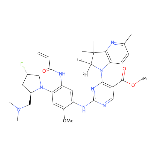 [2H]C1([2H])N(c2nc(Nc3cc(NC(=O)C=C)c(N4C[C@@H](F)C[C@@H]4CN(C)C)cc3OC)ncc2C(=O)OC(C)C)c2ccc(C)nc2C1(C)C